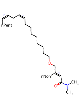 CCCCC/C=C\C/C=C\CCCCCCCCOC/C(=C/C(=O)N(C)C)CCCCCCCCC